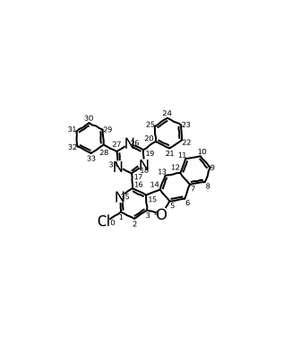 Clc1cc2oc3cc4ccccc4cc3c2c(-c2nc(-c3ccccc3)nc(-c3ccccc3)n2)n1